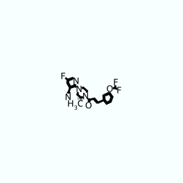 C[C@@H]1CN(c2ncc(F)cc2C#N)CCN1C(=O)C=Cc1cccc(OC(F)F)c1